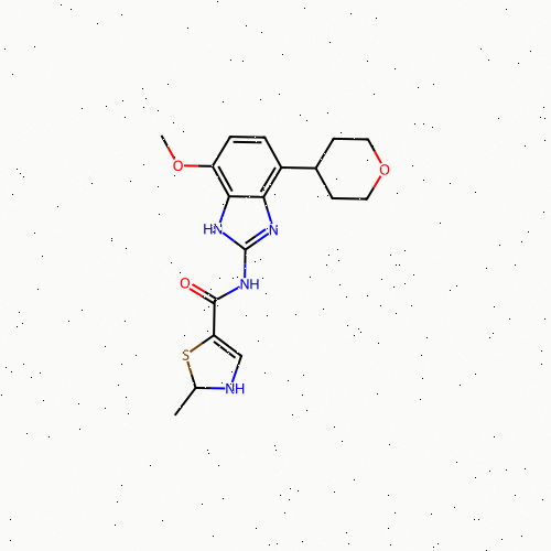 COc1ccc(C2CCOCC2)c2nc(NC(=O)C3=CNC(C)S3)[nH]c12